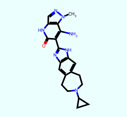 Cn1ncc2[nH]c(=O)c(-c3nc4cc5c(cc4[nH]3)CCN(C3CC3)CC5)c(N)c21